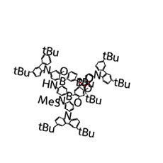 CSN1c2cc3c(cc2B2c4cc5c(cc4Oc4cc(-n6c7ccc(C(C)(C)C)cc7c7cc(C(C)(C)C)ccc76)cc1c42)Oc1cc(-n2c4ccc(C(C)(C)C)cc4c4cc(C(C)(C)C)ccc42)cc2c1B5c1cc(C(C)(C)C)ccc1O2)B1c2cc(C(C)(C)C)ccc2Oc2cc(-n4c5ccc(C(C)(C)C)cc5c5cc(C(C)(C)C)ccc54)cc(c21)N3